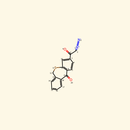 [N-]=[N+]=CC(=O)c1ccc2c(c1)SCc1ccccc1C2=O